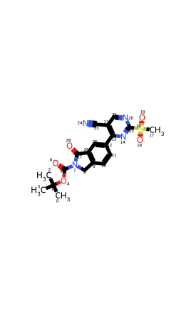 CC(C)(C)OC(=O)N1Cc2ccc(-c3nc(S(C)(=O)=O)ncc3C#N)cc2C1=O